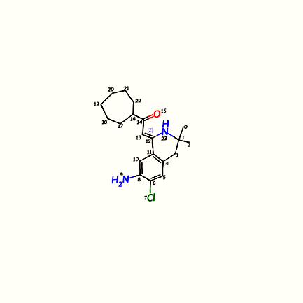 CC1(C)Cc2cc(Cl)c(N)cc2/C(=C/C(=O)C2CCCCCC2)N1